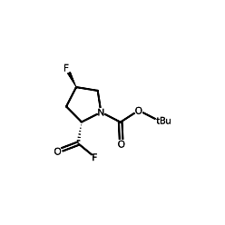 CC(C)(C)OC(=O)N1C[C@H](F)C[C@H]1C(=O)F